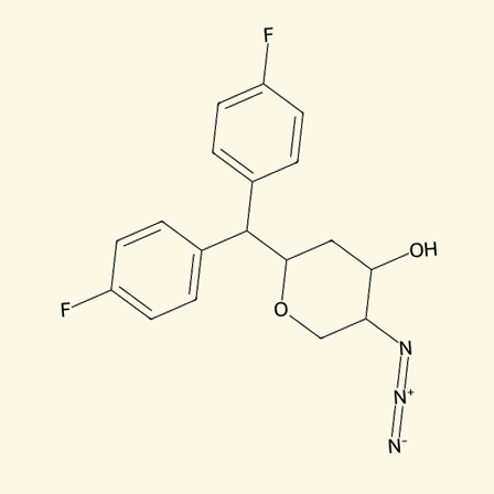 [N-]=[N+]=NC1COC(C(c2ccc(F)cc2)c2ccc(F)cc2)CC1O